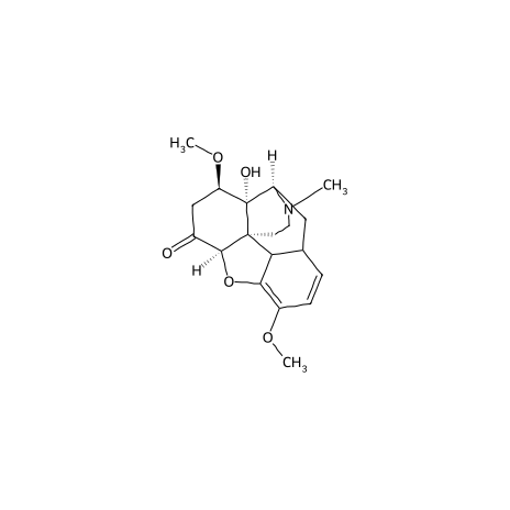 COC1=C2O[C@H]3C(=O)C[C@@H](OC)[C@@]4(O)[C@H]5CC(C=C1)C2[C@@]34CCN5C